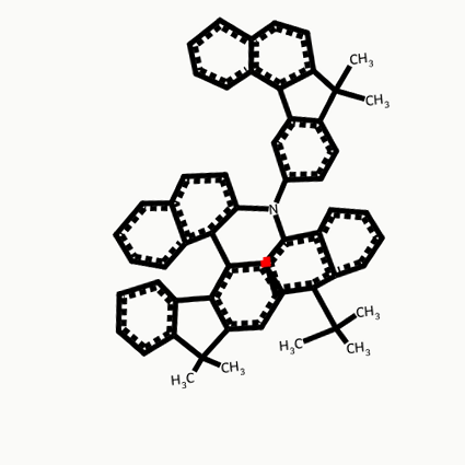 CC(C)(C)c1ccc(N(c2ccc3c(c2)-c2c(ccc4ccccc24)C3(C)C)c2ccc3ccccc3c2-c2cccc3c2-c2ccccc2C3(C)C)c2ccccc12